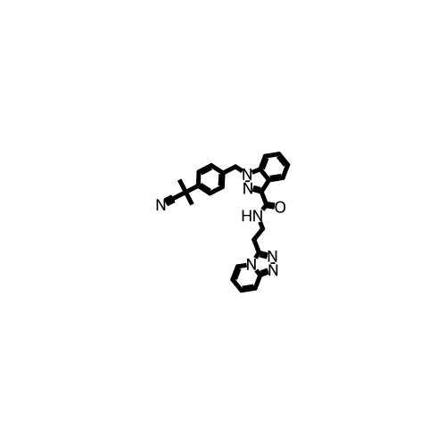 CC(C)(C#N)c1ccc(Cn2nc(C(=O)NCCc3nnc4ccccn34)c3ccccc32)cc1